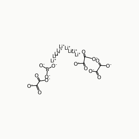 O=C([O-])C(=O)[O-].O=C([O-])C(=O)[O-].O=C([O-])C(=O)[O-].[Li+].[Li+].[Li+].[Li+].[Li+].[Li+].[Li+].[Li+].[Li+].[O-]B([O-])[O-]